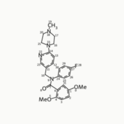 COc1ccc(OC)c(C(=O)N(Cc2ccc(N3CCN(C)CC3)nc2)c2ccc(F)cc2)c1